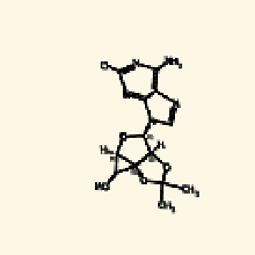 CC1(C)O[C@@H]2[C@H](n3cnc4c(N)nc(Cl)nc43)O[C@@H]3C(O)[C@]32O1